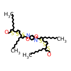 CCCCCCCCc1cc(C=O)sc1-c1ccc(-c2sc(-c3nc4cc5oc(-c6cc(CCCCCCCC)c(-c7ccc(-c8sc(C=O)cc8CCCCCCCC)s7)s6)nc5cc4o3)cc2CCCCCCCC)s1